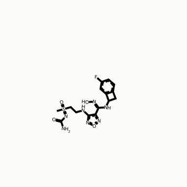 CS(=O)(CCNc1nonc1C(=NO)NC1Cc2ccc(F)cc21)=NC(N)=O